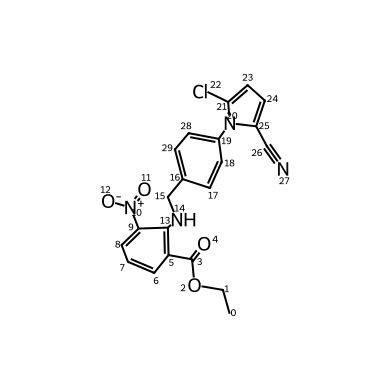 CCOC(=O)c1cccc([N+](=O)[O-])c1NCc1ccc(-n2c(Cl)ccc2C#N)cc1